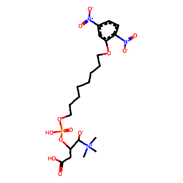 C[N+](C)(C)C([O-])C(CC(=O)O)OP(=O)(O)OCCCCCCCCOc1cc([N+](=O)[O-])ccc1[N+](=O)[O-]